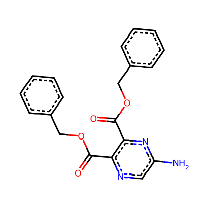 Nc1cnc(C(=O)OCc2ccccc2)c(C(=O)OCc2ccccc2)n1